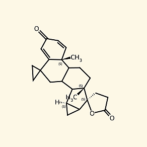 C[C@]12C=CC(=O)C=C1C1(CC1)CC1C2CC[C@@]2(C)C1[C@@H]1CC1[C@@]21CCC(=O)O1